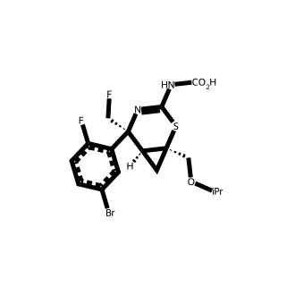 CC(C)OC[C@]12C[C@H]1[C@@](CF)(c1cc(Br)ccc1F)N=C(NC(=O)O)S2